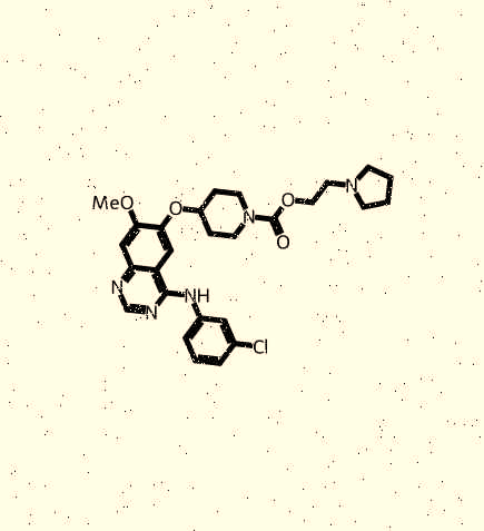 COc1cc2ncnc(Nc3cccc(Cl)c3)c2cc1OC1CCN(C(=O)OCCN2CCCC2)CC1